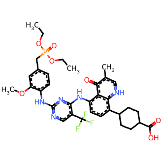 CCOP(=O)(Cc1ccc(Nc2ncc(C(F)(F)F)c(Nc3ccc(C4CCC(C(=O)O)CC4)c4[nH]cc(C)c(=O)c34)n2)c(OC)c1)OCC